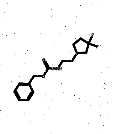 O=C(NCCN1CCC(F)(F)C1)OCc1ccccc1